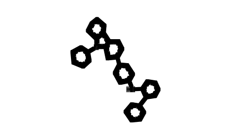 c1ccc(-c2ccccc2Nc2ccc(-c3ccc4c5ccccc5n(-c5ccccc5)c4c3)cc2)cc1